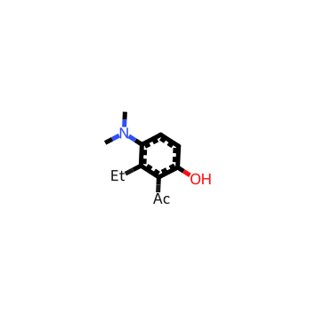 CCc1c(N(C)C)ccc(O)c1C(C)=O